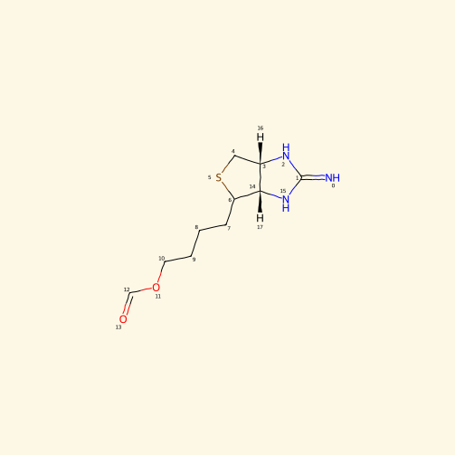 N=C1N[C@H]2CSC(CCCCOC=O)[C@H]2N1